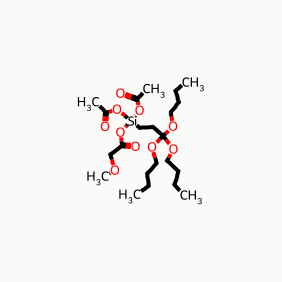 CCCCOC(CC[Si](OC(C)=O)(OC(C)=O)OC(=O)COC)(OCCCC)OCCCC